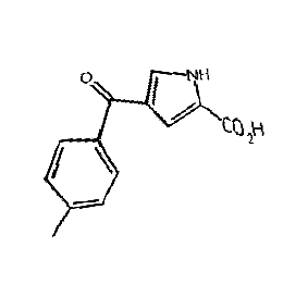 Cc1ccc(C(=O)c2c[nH]c(C(=O)O)c2)cc1